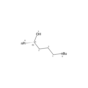 CCCCCCC[C@@H](O)CCC